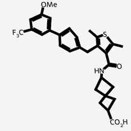 COc1cc(-c2ccc(Cc3c(C)sc(C)c3C(=O)NC3CC4(C3)CC(C(=O)O)C4)cc2)cc(C(F)(F)F)c1